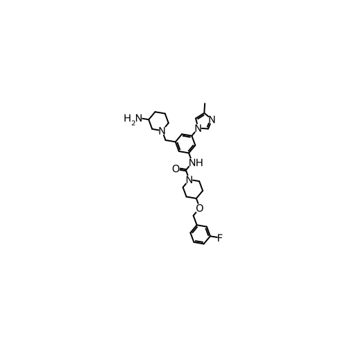 Cc1cn(-c2cc(CN3CCCC(N)C3)cc(NC(=O)N3CCC(OCc4cccc(F)c4)CC3)c2)cn1